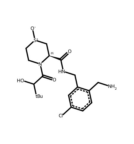 CC(C)(C)C(O)C(=O)N1CC[S+]([O-])C[C@H]1C(=O)NCc1cc(Cl)ccc1CN